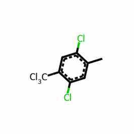 Cc1cc(Cl)c(C(Cl)(Cl)Cl)cc1Cl